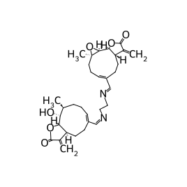 C=C1C(=O)O[C@@H]2[C@H](O)[C@@H](C)CC/C=C(/C=N\CCN=C/C3=C/CC[C@@]4(C)O[C@H]4[C@H]4OC(=O)C(=C)[C@@H]4CC3)CC[C@@H]12